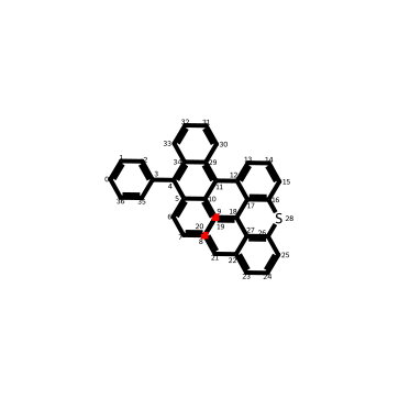 c1ccc(-c2c3ccccc3c(-c3cccc4c3-c3cccc5cccc(c35)S4)c3ccccc23)cc1